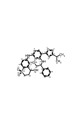 CC(C)c1noc(-c2cnc(Nc3ccc4c(c3)C(O)CCS4(=O)=O)nc2N[C@H](CO)c2ccccc2)n1